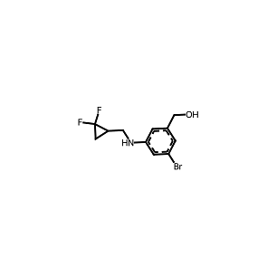 OCc1cc(Br)cc(NCC2CC2(F)F)c1